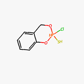 S[PH]1(Cl)OCc2ccccc2O1